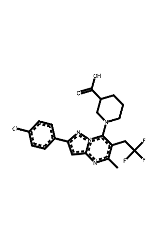 Cc1nc2cc(-c3ccc(Cl)cc3)nn2c(N2CCCC(C(=O)O)C2)c1CC(F)(F)F